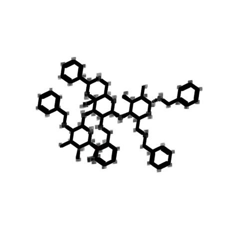 CC1C(OCc2ccccc2)C(O[C@@H]2C(OCc3ccccc3)[C@H](O[C@@H]3C(COCc4ccccc4)O[C@@H](OCc4ccccc4)C(C)[C@@H]3C)OC3COC(c4ccccc4)O[C@H]32)O[C@@H](CO)[C@H]1C